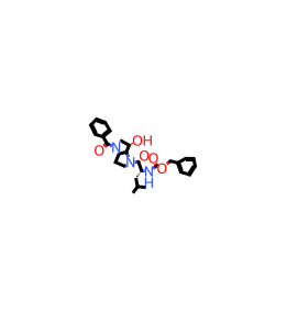 CC(C)C[C@@H](NC(=O)OCc1ccccc1)C(=O)N1CCC2C1[C@@H](O)CN2C(=O)c1ccccc1